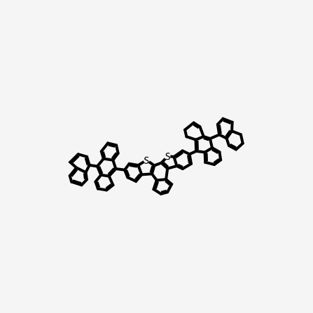 C1=Cc2c(cccc2-c2c3c(c(-c4ccc5c(c4)sc4c6sc7cc(-c8c9ccccc9c(-c9cccc%10ccccc9%10)c9ccccc89)ccc7c6c6ccccc6c54)c4ccccc24)CCC=C3)CC1